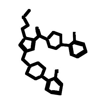 COCCn1cc(CN2CCN(c3ccccc3Cl)CC2)cc1C(=O)N1CCN(c2ccccc2F)CC1